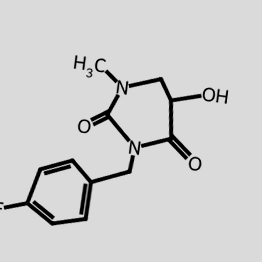 CN1CC(O)C(=O)N(Cc2ccc(F)cc2)C1=O